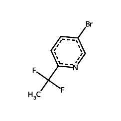 CC(F)(F)c1ccc(Br)cn1